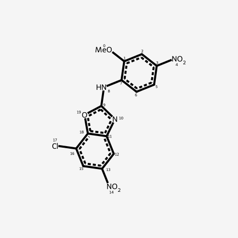 COc1cc([N+](=O)[O-])ccc1Nc1nc2cc([N+](=O)[O-])cc(Cl)c2o1